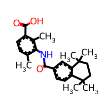 Cc1ccc(C(=O)O)c(C)c1NC(=O)c1ccc2c(c1)C(C)(C)CCC2(C)C